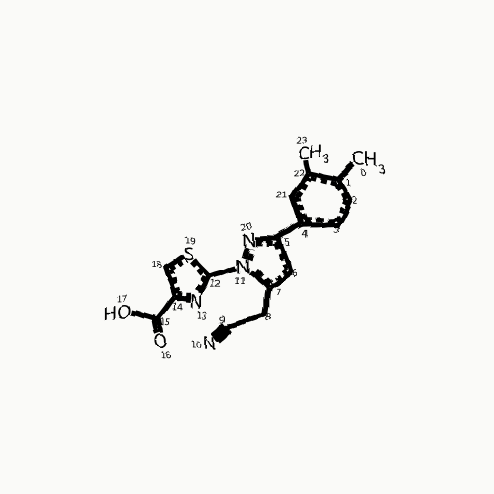 Cc1ccc(-c2cc(CC#N)n(-c3nc(C(=O)O)cs3)n2)cc1C